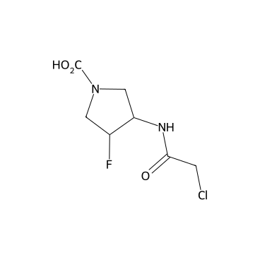 O=C(CCl)NC1CN(C(=O)O)CC1F